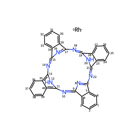 [Rh].c1ccc2c(c1)-c1nc-2nc2[nH]c(nc3nc(nc4[nH]c(n1)c1ccccc41)-c1ccccc1-3)c1ccccc21